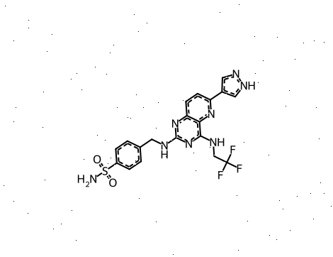 NS(=O)(=O)c1ccc(CNc2nc(NCC(F)(F)F)c3nc(-c4cn[nH]c4)ccc3n2)cc1